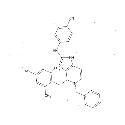 CC(=O)c1cc(C)c(OC2c3cc(Nc4ccc(C#N)cc4)[nH]c3C=CN2Cc2ccccc2)c(C)c1